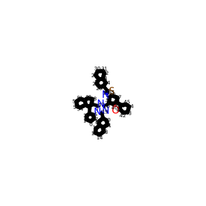 c1ccc(-c2c(-c3nc(-c4ccc5ccccc5c4)nc(-c4c5nc(-c6ccc7ccccc7c6)sc5cc5c4oc4ccccc45)n3)ccc3ccccc23)cc1